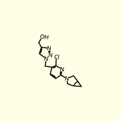 OCc1cn(Cc2ccc(N3CC4CC4C3)nc2Cl)nn1